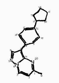 Cc1ccn2ncc(-c3ccc(C4CCCC4)cc3)c2n1